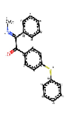 CC(=O)O/N=C(/C(=O)c1ccc(Sc2ccccc2)cc1)c1ccccc1